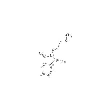 CSCCCN1C(=O)c2ccccc2C1=O